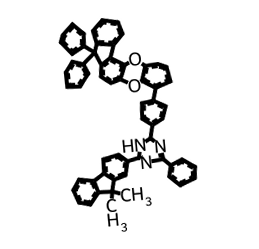 CC1(C)c2ccccc2-c2ccc(C3=NC(c4ccccc4)=NC(c4ccc(-c5cccc6c5Oc5ccc7c(c5O6)-c5ccccc5C7(c5ccccc5)c5ccccc5)cc4)N3)cc21